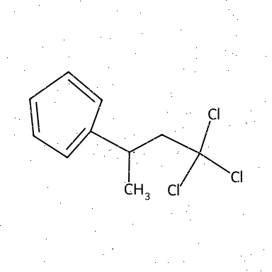 C[C](CC(Cl)(Cl)Cl)c1ccccc1